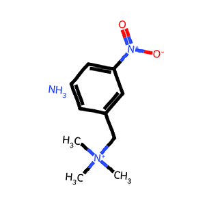 C[N+](C)(C)Cc1cccc([N+](=O)[O-])c1.N